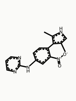 Cc1c[nH]c(C)c1-c1ccc(Nc2ncccn2)cc1[N+](=O)[O-]